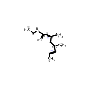 C/C=C/[C@H](C)C/C(N)=C\C(=O)OCC